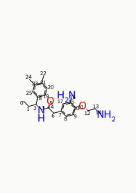 CCC(NC(=O)Cc1ccc(OCCN)c(N)c1)c1ccc(C)c(C)c1